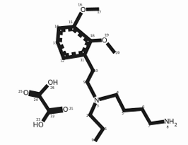 CCCN(CCCCN)CCc1cccc(OC)c1OC.O=C(O)C(=O)O